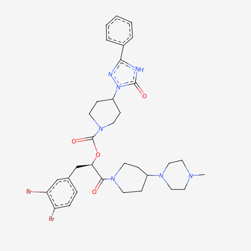 CN1CCN(C2CCN(C(=O)[C@@H](Cc3ccc(Br)c(Br)c3)OC(=O)N3CCC(n4nc(-c5ccccc5)[nH]c4=O)CC3)CC2)CC1